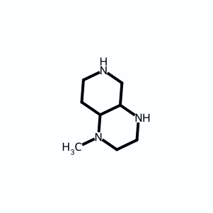 CN1CCNC2CNCCC21